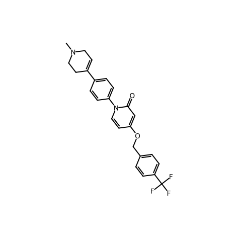 CN1CC=C(c2ccc(-n3ccc(OCc4ccc(C(F)(F)F)cc4)cc3=O)cc2)CC1